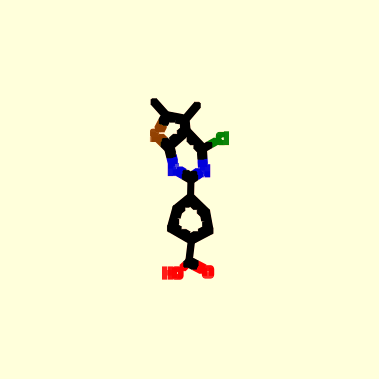 Cc1sc2nc(-c3ccc(C(=O)O)cc3)nc(Cl)c2c1C